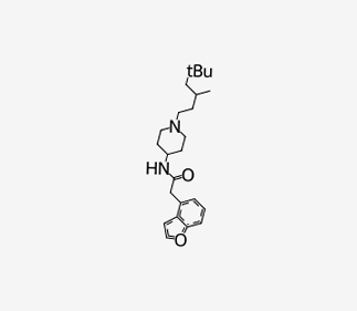 CC(CCN1CCC(NC(=O)Cc2cccc3occc23)CC1)CC(C)(C)C